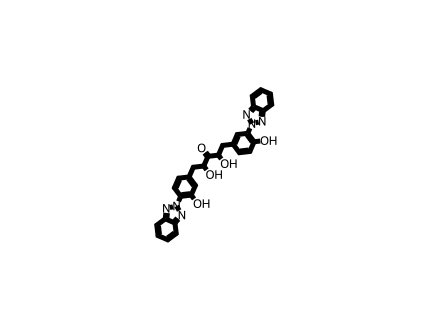 O=C(C(O)Cc1ccc(-n2nc3ccccc3n2)c(O)c1)C(O)Cc1ccc(O)c(-n2nc3ccccc3n2)c1